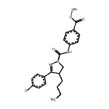 CCCCOC(=O)c1ccc(NC(=O)N2CC(CCCC#N)C(c3ccc(Cl)cc3)=N2)cc1